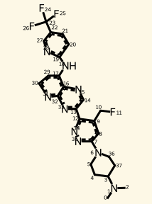 CN(C)C1CCN(c2cc(CF)c(-c3cnc4c(Nc5ccc(C(F)(F)F)cn5)ccnc4n3)nn2)CC1